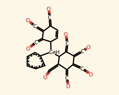 O=C=C1C=C[CH]([GeH]([c]2ccccc2)[CH]2C(=C=O)C(=C=O)C(=C=O)C(=C=O)C2=C=O)C(=C=O)C1=C=O